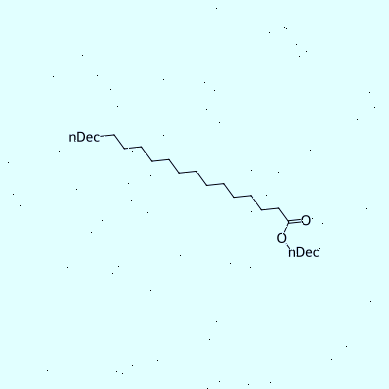 CCCCCCCCCCCCCCCCCCCCCCCC(=O)OCCCCCCCCCC